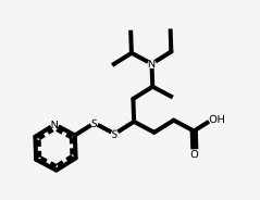 CCN(C(C)C)C(C)CC(CCC(=O)O)SSc1ccccn1